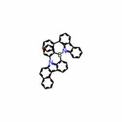 c1ccc(-c2cccc3c4ccccc4n(B4c5ccccc5-n5c6ccc7ccccc7c6c6cccc4c65)c23)cc1